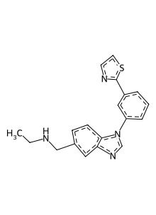 CCNCc1ccc2c(c1)ncn2-c1cccc(-c2nccs2)c1